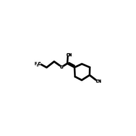 N#CC(OCCC(F)(F)F)=C1CCC(C#N)CC1